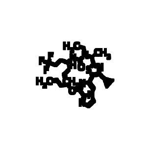 C=CCCOc1nc(-c2sc([C@@H](C)N(CC)C(=O)N[C@H](CC=C)CCC(F)(F)F)nc2C2CC2)cn2ccnc12